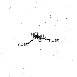 CCCCCCCCCCCCCCCCCC(=O)C(N)CN1CCN=C1CCCCCCCCCCCCCCCCC.Cl